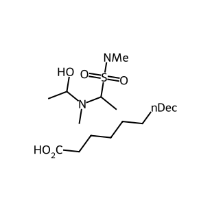 CCCCCCCCCCCCCCCC(=O)O.CNS(=O)(=O)C(C)N(C)C(C)O